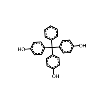 Oc1ccc(C(c2ccccc2)(c2ccc(O)cc2)c2ccc(O)cc2)cc1